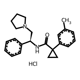 Cc1cccc(C2(C(=O)N[C@H](CN3CCCC3)c3ccccc3)CC2)c1.Cl